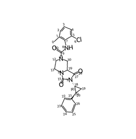 Cc1cccc(Cl)c1NC(=O)N1CCN2C(=O)N([C@@H]3C[C@H]3c3ccccc3)C(=O)C2C1